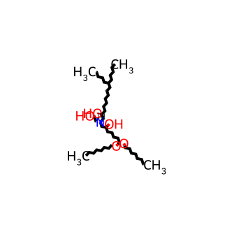 CCCCCCCCOC(CCCCC(O)CN(CCO)C[C@@H](O)CCCCCCCC(CCCCC)CCCCC)OCCCCCCCC